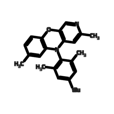 Cc1ccc2c(c1)N(c1c(C)cc(C(C)(C)C)cc1C)c1cc(C)ncc1O2